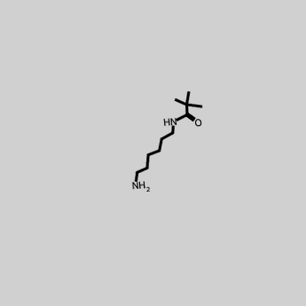 CC(C)(C)C(=O)NCCCCCCN